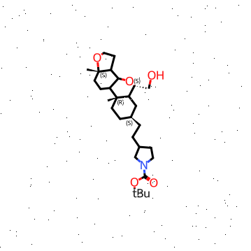 CC(C)(C)OC(=O)N1CCC(CC[C@H]2CC[C@]3(C)C4CC[C@]5(C)OCCC5C4O[C@H](CO)C3C2)C1